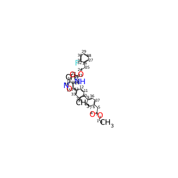 CCOC(=O)Cc1ccc(-c2ccc(-c3onc(C)c3NC(=O)OCCc3ccccc3F)cc2C)cc1